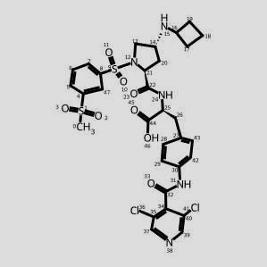 CS(=O)(=O)c1cccc(S(=O)(=O)N2C[C@H](NC3CCC3)C[C@H]2C(=O)N[C@@H](Cc2ccc(NC(=O)c3c(Cl)cncc3Cl)cc2)C(=O)O)c1